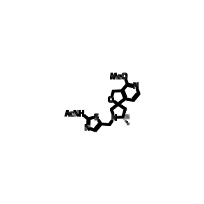 COc1nccc2c1COC21C[C@H](C)N(Cc2cnc(NC(C)=O)s2)C1